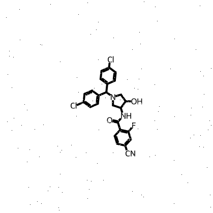 N#Cc1ccc(C(=O)NC2CN(C(c3ccc(Cl)cc3)c3ccc(Cl)cc3)CC2O)c(F)c1